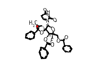 C=CC[C@]1(OC(=O)c2ccccc2)[C@H](n2ccc(=O)[nH]c2=O)O[C@](F)(COC(=O)c2ccccc2)[C@H]1OC(=O)c1ccccc1